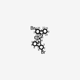 Brc1ccc2c(c1)c1ccccc1n2CC1(Cn2c3ccccc3c3cc(Br)ccc32)COC1